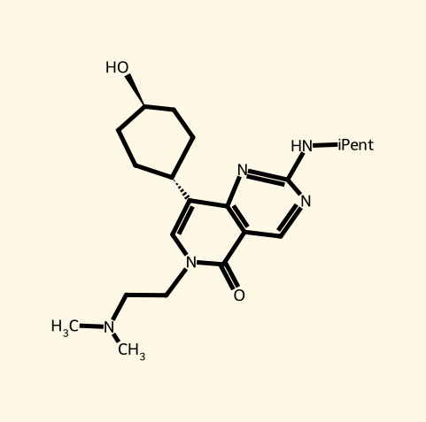 CCCC(C)Nc1ncc2c(=O)n(CCN(C)C)cc([C@H]3CC[C@H](O)CC3)c2n1